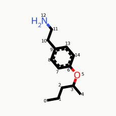 CCCC(C)Oc1ccc(CCN)cc1